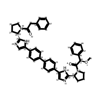 CO[C@@H](C(=O)N1CCC[C@H]1c1ncc(-c2ccc(-c3ccc(-c4cnc([C@@H]5CCCN5C(=O)Cc5ccccc5)[nH]4)cc3)cc2)[nH]1)c1ccccc1